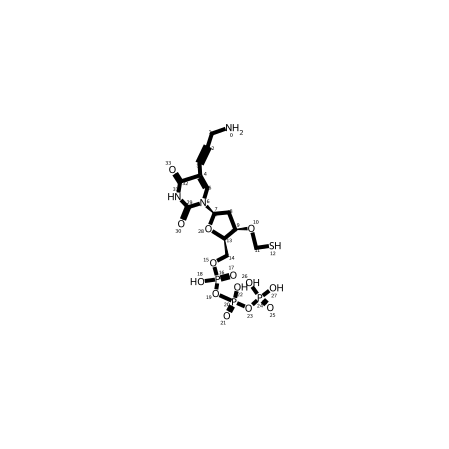 NCC#Cc1cn([C@H]2C[C@@H](OCS)[C@@H](COP(=O)(O)OP(=O)(O)OP(=O)(O)O)O2)c(=O)[nH]c1=O